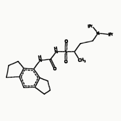 CC(C)N(CCC(C)S(=O)(=O)NC(=O)Nc1c2c(cc3c1CCC3)CCC2)C(C)C